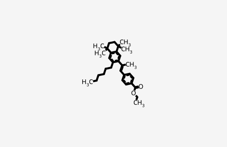 CCCCCCc1cc2c(cc1C(C)=Cc1ccc(C(=O)OCC)cc1)C(C)(C)CCC2(C)C